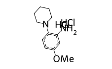 COc1ccc(N2CCCCC2)c(N)c1.Cl.Cl